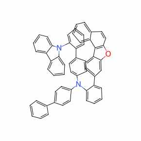 c1ccc(-c2ccc(N(c3ccc(-c4ccccc4-n4c5ccccc5c5ccccc54)cc3)c3ccccc3-c3ccc4c(c3)oc3ccc5ccccc5c34)cc2)cc1